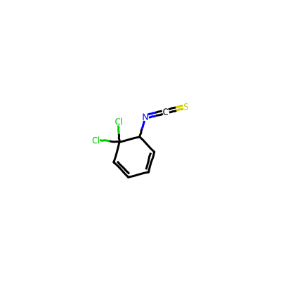 S=C=NC1C=CC=CC1(Cl)Cl